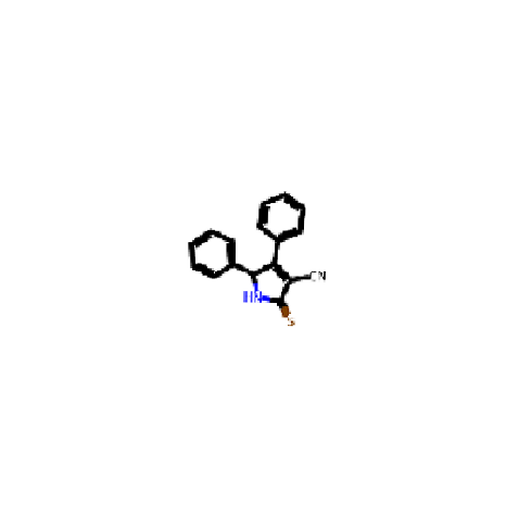 N#CC1=C(c2ccccc2)C(c2ccccc2)NC1=S